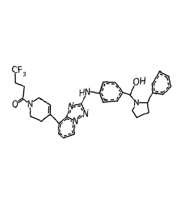 O=C(CCC(F)(F)F)N1CC=C(c2cccn3nc(Nc4ccc(C(O)N5CCCC5c5ccccc5)cc4)nc23)CC1